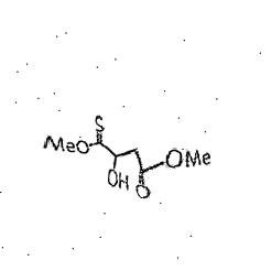 COC(=O)CC(O)C(=S)OC